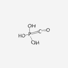 O=C=P(O)(O)O